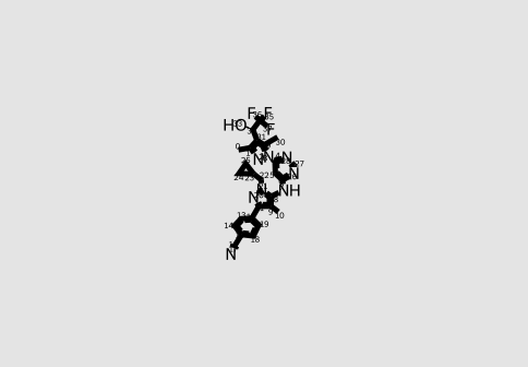 Cc1nn(-c2cc(Nc3c(C)c(-c4ccc(C#N)cc4)nn3CC3CC3)ncn2)c(C)c1[C@H](O)C(F)(F)F